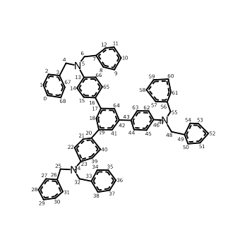 c1ccc(CN(Cc2ccccc2)c2ccc(-c3cc(-c4ccc(N(Cc5ccccc5)Cc5ccccc5)cc4)cc(-c4ccc(N(Cc5ccccc5)Cc5ccccc5)cc4)c3)cc2)cc1